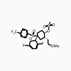 COCC[C@@H]1C[C@](C2CC(F)=CC=C2F)(S(=O)(=O)c2ccc(C(F)(F)F)cc2)CC[C@H]1OS(C)(=O)=O